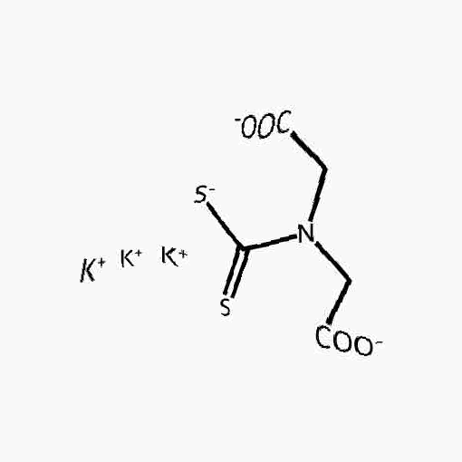 O=C([O-])CN(CC(=O)[O-])C(=S)[S-].[K+].[K+].[K+]